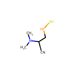 CN(C)C(C#N)CPS